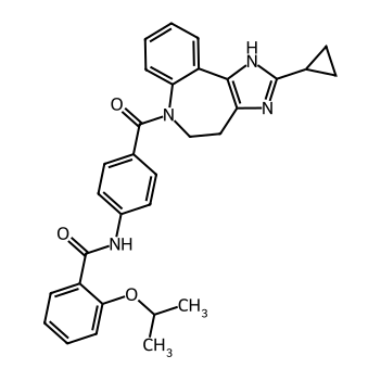 CC(C)Oc1ccccc1C(=O)Nc1ccc(C(=O)N2CCc3nc(C4CC4)[nH]c3-c3ccccc32)cc1